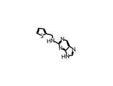 c1csc(CNc2ncc3nc[nH]c3n2)c1